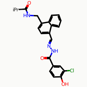 CC(C)C(=O)NCc1ccc(/C=N/NC(=O)c2ccc(O)c(Cl)c2)c2ccccc12